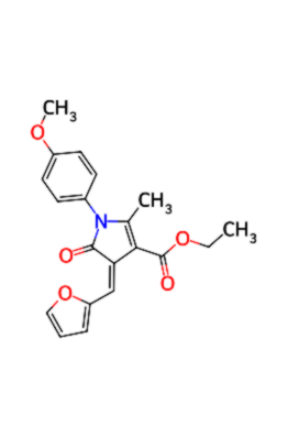 CCOC(=O)C1=C(C)N(c2ccc(OC)cc2)C(=O)/C1=C\c1ccco1